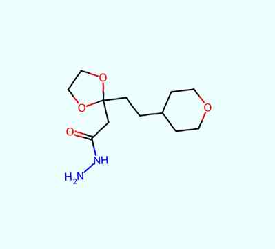 NNC(=O)CC1(CCC2CCOCC2)OCCO1